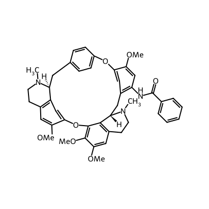 COc1cc(NC(=O)c2ccccc2)c2cc1Oc1ccc(cc1)C[C@H]1c3cc(c(OC)cc3CCN1C)Oc1c(OC)c(OC)cc3c1[C@H](C2)N(C)CC3